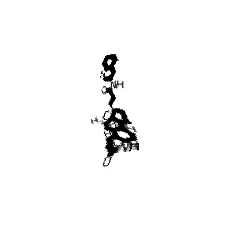 C[C@]12C=CC(=O)N[C@@H]1CC[C@@H]1[C@@H]2CC[C@]2(C)[C@@H](CCC(=O)Nc3cnc4ccccc4c3)CC[C@@H]12